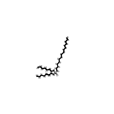 CCCCCCCCCCCCCCCC[Si](C)(CCCCCCCC)CCCCCCCC